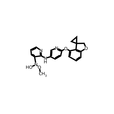 CON(O)c1cccnc1Nc1ccc(Oc2cccc3c2C2(CC2)CO3)nc1